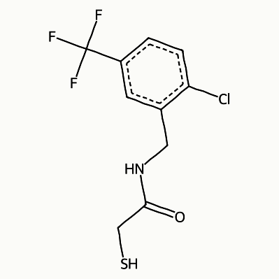 O=C(CS)NCc1cc(C(F)(F)F)ccc1Cl